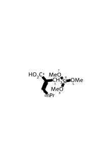 CCCC=C(C)C(=O)O.CO[Si](OC)OC